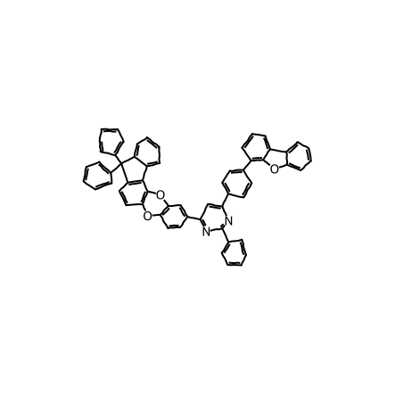 c1ccc(-c2nc(-c3ccc(-c4cccc5c4oc4ccccc45)cc3)cc(-c3ccc4c(c3)Oc3c(ccc5c3-c3ccccc3C5(c3ccccc3)c3ccccc3)O4)n2)cc1